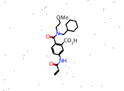 C=CC(=O)Nc1ccc(C(=O)N(CCOC)CC2CCCCC2)c(C(=O)O)c1